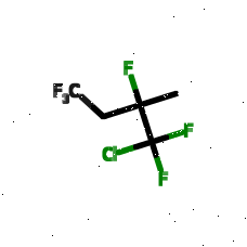 CC(F)(CC(F)(F)F)C(F)(F)Cl